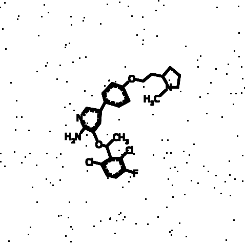 CC(Oc1cc(-c2ccc(OCCC3CCCN3C)cc2)cnc1N)c1c(Cl)ccc(F)c1Cl